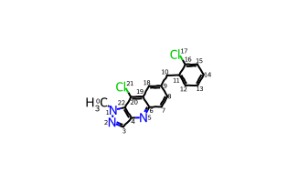 Cn1ncc2nc3ccc(Cc4ccccc4Cl)cc3c(Cl)c21